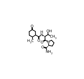 CC1CCC(=O)CC1C(=O)N[C@H](C(=O)N1CCC[C@H]1C(N)=O)C(C)O